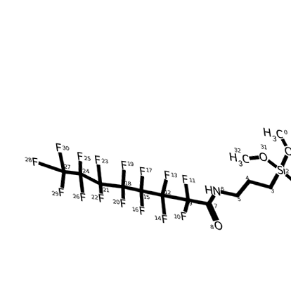 CO[Si](CCCNC(=O)C(F)(F)C(F)(F)C(F)(F)C(F)(F)C(F)(F)C(F)(F)C(F)(F)F)(OC)OC